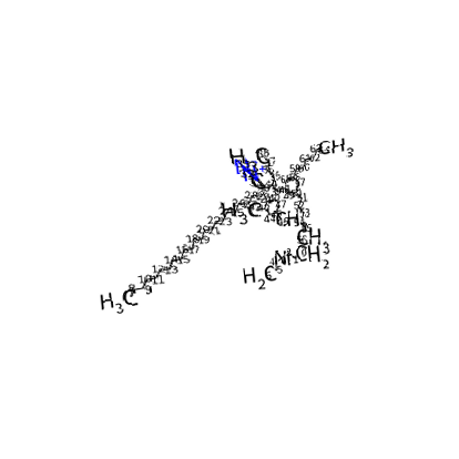 C=C[CH2][Ni][CH2]C=C.CCCCCCCCCCCCCCCCCCCCCCCC(=C=[N+]=[N-])C(CCCC)=C(c1cc(C)cc(C)c1)c1cc(CCCCCC)cc(CCCCCC)c1